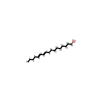 CCCCC=CC=CCCCCCCCCCBr